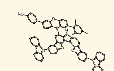 Cc1cc(C)c(-c2ccc3c(c2)B(c2cc4c5cc(-n6c7ccccc7c7ccccc76)ccc5oc4c4c2[nH]c2ccc5c6cc(-n7c8ccccc8c8ccccc87)ccc6oc5c24)c2ccc(-c4ccc(C#N)cc4)cc2O3)c(C)c1